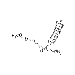 COCCOCCOCCOCC(=O)N(CCCN)CCC(F)(F)C(F)(F)C(F)(F)C(F)(F)C(F)(F)C(F)(F)C(F)(F)C(F)(F)F